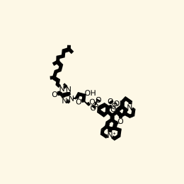 CC(C)=CCC/C(C)=C/CC/C(C)=C/Cn1cnc2c(ncn2[C@H]2C[C@@H](O)[C@@H](COS(=O)(=O)c3ccc(C4=c5cc6c7c(c5Oc5c4cc4c8c5CCCN8CCC4)CCC[N+]=7CCC6)c(S(=O)(=O)O)c3)O2)c1=O